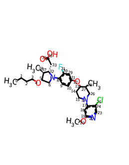 CCCCO[C@H]1CN(c2ccc(OC3CCN(c4cc(OC)ncc4Cl)CC3C)cc2F)[C@@H](CC(=O)O)[C@@H]1C